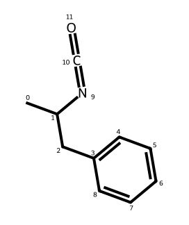 CC(Cc1ccccc1)N=C=O